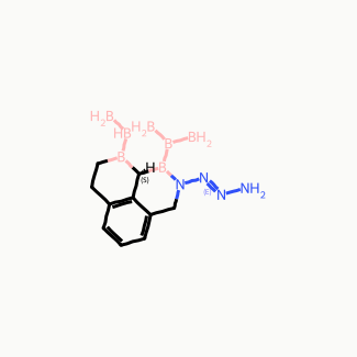 BBB1CCc2cccc3c2[C@@H]1B(B(B)B)N(/N=N/N)C3